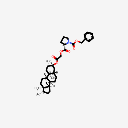 CC(=O)[C@H]1CC[C@H]2[C@@H]3CC[C@H]4C[C@](C)(OC(=O)COC(=O)[C@H]5CCCN5C(=O)OCc5ccccc5)CC[C@]4(C)[C@H]3CC[C@]12C